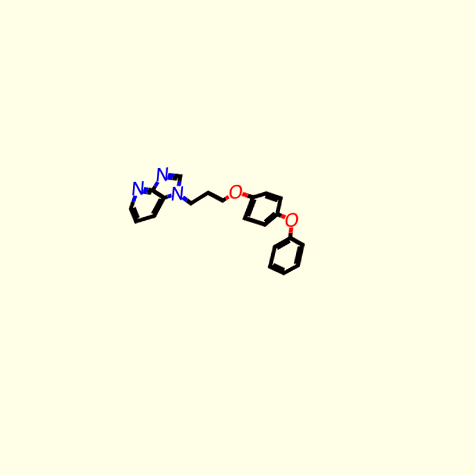 c1ccc(Oc2ccc(OCCCn3cnc4ncccc43)cc2)cc1